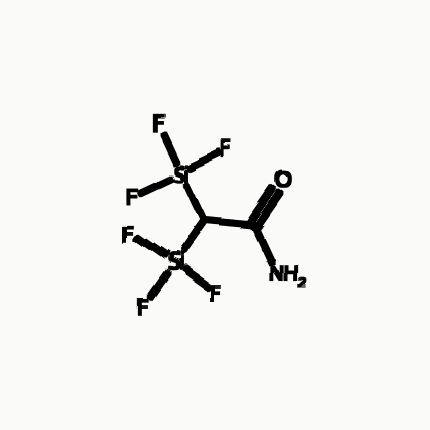 NC(=O)C([Si](F)(F)F)[Si](F)(F)F